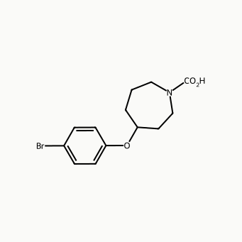 O=C(O)N1CCCC(Oc2ccc(Br)cc2)CC1